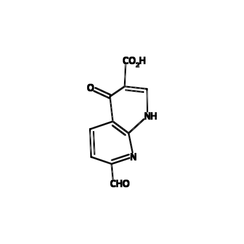 O=Cc1ccc2c(=O)c(C(=O)O)c[nH]c2n1